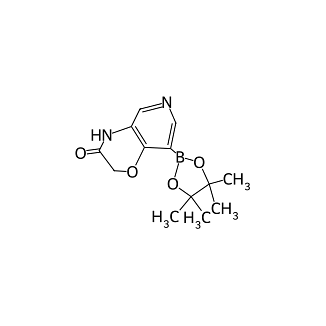 CC1(C)OB(c2cncc3c2OCC(=O)N3)OC1(C)C